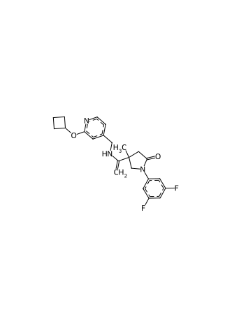 C=C(NCc1ccnc(OC2CCC2)c1)C1(C)CC(=O)N(c2cc(F)cc(F)c2)C1